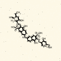 C=C(/C=C(O)\C(=C/C)N=Nc1c(S(=O)(=O)O)cc2cc(Nc3ccc4c(O)c(N=NC(=C)/C(O)=C\C(=C/C)N=N)c(S(=O)(=O)O)cc4c3)ccc2c1O)N=N